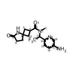 CN(C(=O)C1CC2(CCC(=O)N2)C1)C(c1ccc(N)cn1)C(F)(F)F